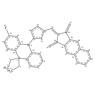 CC[Si]1(CC)c2ccccc2N(c2ccc(C=C3C(=O)c4cc5ccccc5cc4C3=O)s2)c2cc(F)ccc21